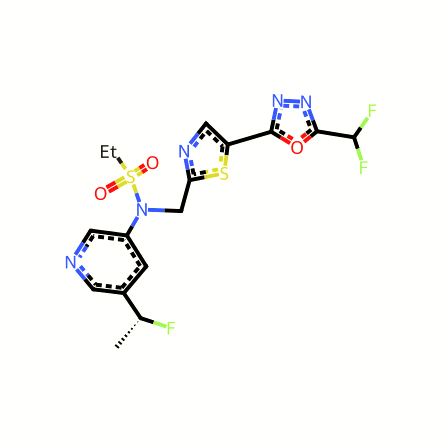 CCS(=O)(=O)N(Cc1ncc(-c2nnc(C(F)F)o2)s1)c1cncc([C@@H](C)F)c1